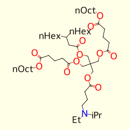 CCCCCCCCOC(=O)CCCC(=O)OCC(COC(=O)CCCC(=O)OCCCCCCCC)(COC(=O)CCCN(CC)C(C)C)COC(=O)CC(CCCCCC)CCCCCC